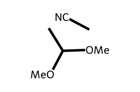 CC#N.COC(C)OC